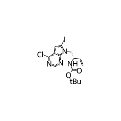 C=C[C@@H](Cn1c(I)cc2c(Cl)ncnc21)NC(=O)OC(C)(C)C